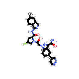 NC(=O)c1nn(CC(=O)N2CC(F)CC2C(=O)NC2=NCc3cc(C(F)(F)F)ccc32)c2ccc(-c3ccnnc3)cc12